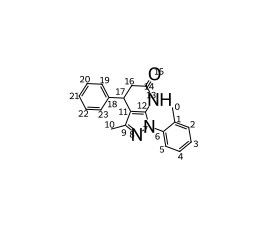 Cc1ccccc1-n1nc(C)c2c1NC(=O)CC2c1ccccc1